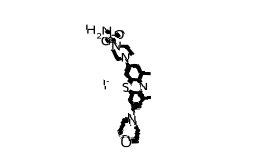 Cc1cc(N2CCOCC2)cc2[s+]c3cc(N4CCN(S(N)(=O)=O)CC4)cc(C)c3nc12.[I-]